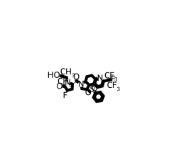 CC(C)(O)CN1C(=O)[C@H](F)C[C@H]1C(=O)N1CCC2(S(=O)(=O)c3ccccc3)c3ccc(C(F)(C(F)(F)F)C(F)(F)F)nc3CCC12